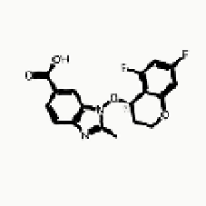 Cc1nc2ccc(C(=O)O)cc2n1O[C@@H]1CCOc2cc(F)cc(F)c21